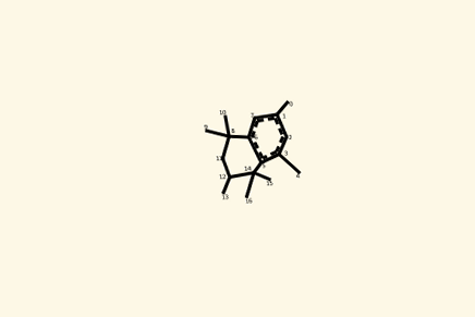 Cc1cc(C)c2c(c1)C(C)(C)CC(C)C2(C)C